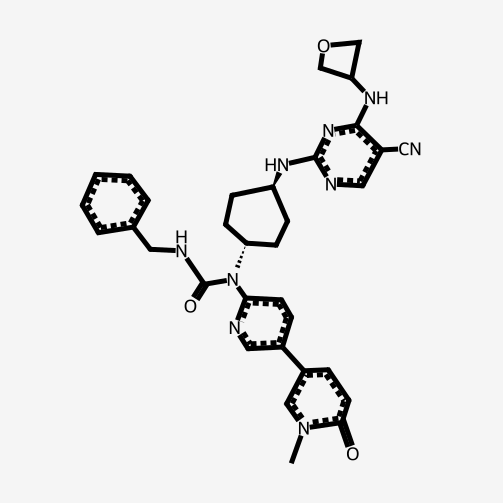 Cn1cc(-c2ccc(N(C(=O)NCc3ccccc3)[C@H]3CC[C@H](Nc4ncc(C#N)c(NC5COC5)n4)CC3)nc2)ccc1=O